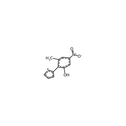 Cc1cc([N+](=O)[O-])cc(O)c1-c1cccs1